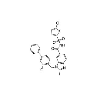 Cc1nc2ccc(C(=O)NS(=O)(=O)c3ccc(Cl)s3)cc2n1Cc1ccc(-c2ccccc2)cc1Cl